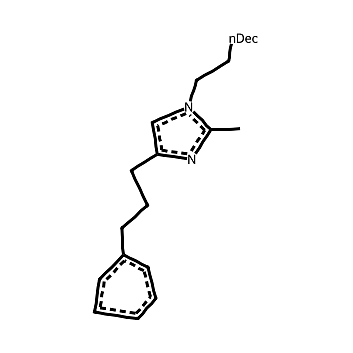 CCCCCCCCCCCCn1cc(CCCc2ccccc2)nc1C